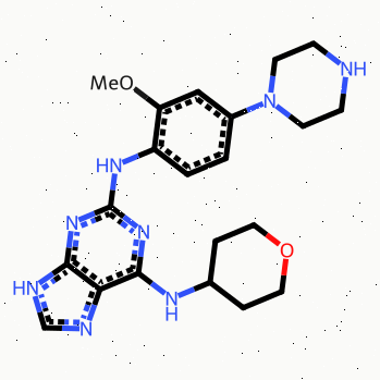 COc1cc(N2CCNCC2)ccc1Nc1nc(NC2CCOCC2)c2nc[nH]c2n1